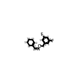 Fc1cc(F)cc(CO/N=[C]\C2=CCCCC2)c1